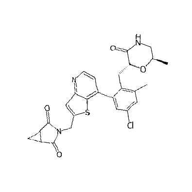 Cc1cc(Cl)cc(-c2ccnc3cc(CN4C(=O)C5CC5C4=O)sc23)c1C[C@H]1O[C@H](C)CNC1=O